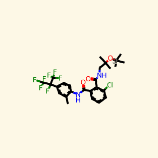 Cc1cc(C(F)(C(F)(F)F)C(F)(F)F)ccc1NC(=O)c1cccc(Cl)c1C(=O)NCC(C)(C)O[Si](C)(C)C